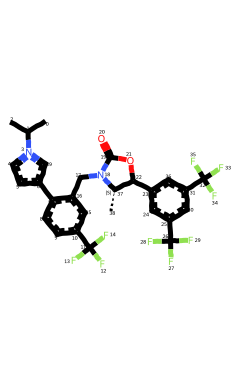 CC(C)n1ccc(-c2ccc(C(F)(F)F)cc2CN2C(=O)OC(c3cc(C(F)(F)F)cc(C(F)(F)F)c3)[C@@H]2C)c1